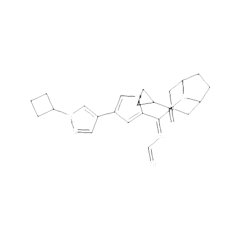 N=C/N=C(\c1cc(-c2cnn(C3CCC3)c2)c[nH]1)N1CC2CCC(C1)N2C(=O)C1CC1